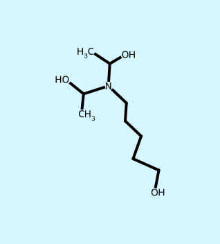 CC(O)N(CCCCCO)C(C)O